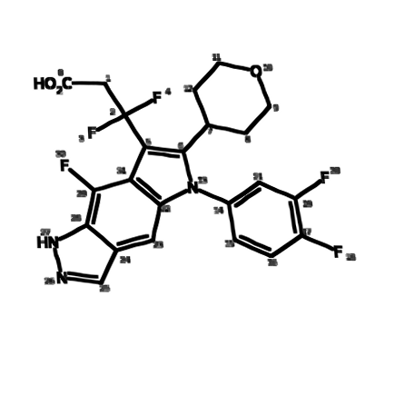 O=C(O)CC(F)(F)c1c(C2CCOCC2)n(-c2ccc(F)c(F)c2)c2cc3cn[nH]c3c(F)c12